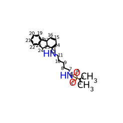 CC(C)S(=O)(=O)NCCCCCNC1=CC=CC2c3ccccc3CC12